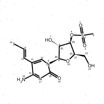 CS(=O)(=O)O[C@@H]1[C@@H](O)[C@H](n2cc(C=CI)c(N)nc2=O)O[C@@H]1CO